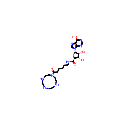 O=C(NCCCCCC(=O)N1CCNCCNCCNCC1)[C@H]1O[C@@H](n2cnc3c(O)ncnc32)[C@H](O)[C@@H]1O